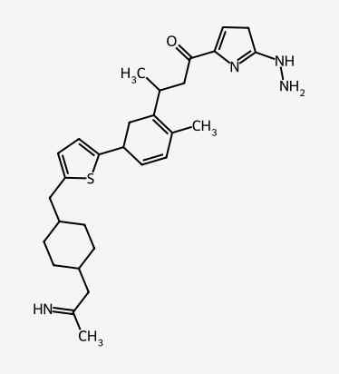 CC(=N)CC1CCC(Cc2ccc(C3C=CC(C)=C(C(C)CC(=O)C4=CCC(NN)=N4)C3)s2)CC1